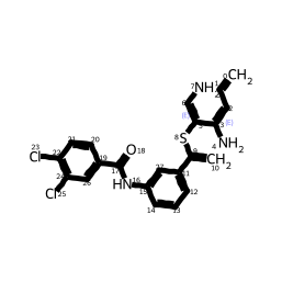 C=C/C=C(N)\C(=C/N)SC(=C)c1cccc(NC(=O)c2ccc(Cl)c(Cl)c2)c1